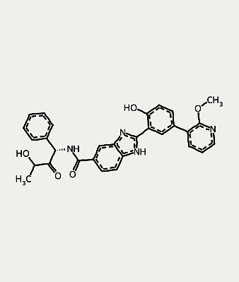 COc1ncccc1-c1ccc(O)c(-c2nc3cc(C(=O)N[C@H](C(=O)C(C)O)c4ccccc4)ccc3[nH]2)c1